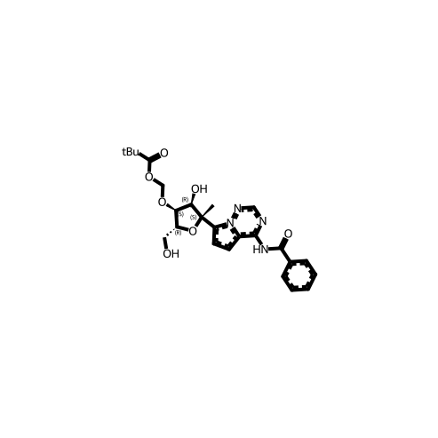 CC(C)(C)C(=O)OCO[C@H]1[C@@H](O)[C@](C)(c2ccc3c(NC(=O)c4ccccc4)ncnn23)O[C@@H]1CO